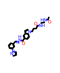 CC(=O)NCCNC(=O)CCCn1ccc2cc(C(=O)NN=Cc3cccc(-n4cccn4)c3)ccc21